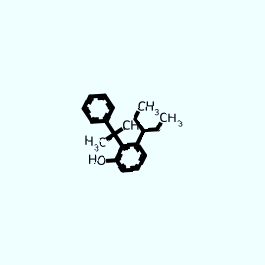 CCC(CC)c1cccc(O)c1C(C)(C)c1ccccc1